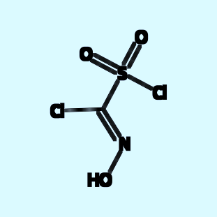 O=S(=O)(Cl)C(Cl)=NO